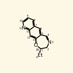 CC[C@@H]1CN=Cc2cc3cccnc3cc2O1